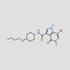 CCCCO[C@H]1CC[C@H](NC(=O)c2cn(C)c3c(Br)cn(C)c(=O)c23)CC1